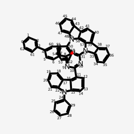 c1ccc(-c2ccc(-c3nc(-c4cccc5c4c4ccccc4n5-c4ccccc4)nc(-n4c5ccccc5c5ccc6c7ccccc7n(-c7ccccc7)c6c54)n3)cc2)cc1